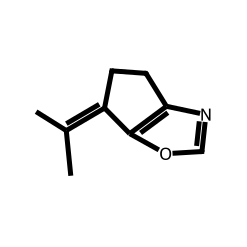 CC(C)=C1CCc2ncoc21